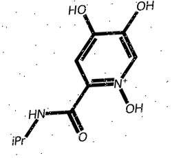 CC(C)NC(=O)c1cc(O)c(O)c[n+]1O